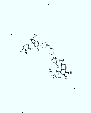 Cn1nc(C2CCC(=O)NC2=O)c2cc(F)c(C3CCN(CC4CCN(c5ncc(Cl)c(Nc6cnc7c(c6)c6c(c(=O)n7C)OCC(F)(F)[C@H](C7CC7)N6)n5)CC4)CC3)cc21